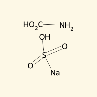 NC(=O)O.O=[S](=O)(O)[Na]